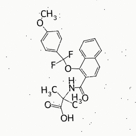 COc1ccc(C(F)(F)Oc2c(C(=O)NC(C)(C)C(=O)O)ccc3ccccc23)cc1